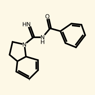 N=C(NC(=O)c1ccccc1)N1CCC2C=[C]C=CC21